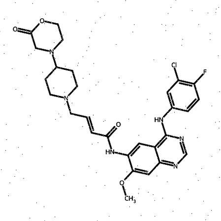 COc1cc2ncnc(Nc3ccc(F)c(Cl)c3)c2cc1NC(=O)C=CCN1CCC(N2CCOC(=O)C2)CC1